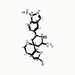 CC1CC2(CC(c3cnc4c(cnn4C)c3)N1)OCCc1cc(Cl)sc12